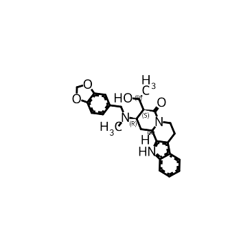 C[C@@H](O)[C@H]1C(=O)N2CCc3c([nH]c4ccccc34)[C@H]2C[C@H]1N(C)Cc1ccc2c(c1)OCO2